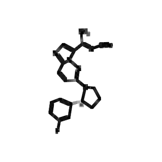 CON=C(N)c1cnc2ccc(N3CCC[C@@H]3c3cccc(F)c3)nn12